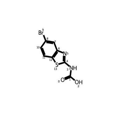 O=C(O)Nc1nc2cc(Br)ccc2s1